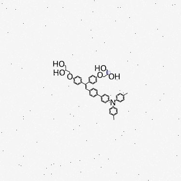 Cc1ccc(N(c2ccc(C)cc2)c2ccc(-c3ccc(C=C(c4ccc(OC/C(O)=C\O)cc4)c4ccc(OCC(O)CO)cc4)cc3)cc2)cc1